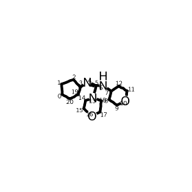 C1CCC(N=C(NC2CCOCC2)N2CCOCC2)CC1